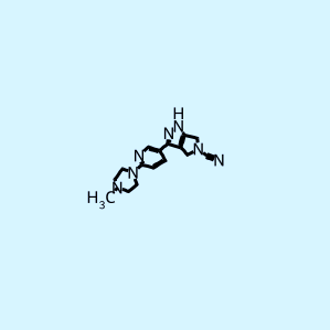 CN1CCN(c2ccc(-c3n[nH]c4c3CN(C#N)C4)cn2)CC1